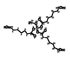 CCCCCCCCCCCCCCCC(=O)[O][Ti]([O]C(=O)CCCCCCCCCCCCCCC)([O]C(=O)CCCCCCCCCCCCCCC)[O]C(C)C